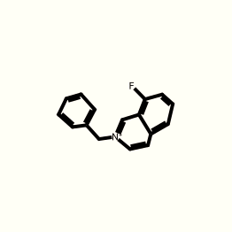 Fc1cccc2cc[n+](Cc3ccccc3)cc12